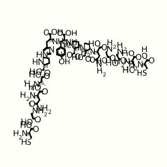 C[C@H](N)C(=O)O.NC(=O)C[C@H](N)C(=O)O.NC(=O)C[C@H](N)C(=O)O.NCC(=O)O.NCC(=O)O.NCC(=O)O.N[C@@H](CO)C(=O)O.N[C@@H](CS)C(=O)O.N[C@@H](CS)C(=O)O.N[C@@H](Cc1c[nH]cn1)C(=O)O.N[C@@H](Cc1ccc(O)cc1)C(=O)O.O=C(O)[C@@H]1CCCN1.O=C(O)[C@@H]1CCCN1.O=C(O)[C@@H]1CCCN1